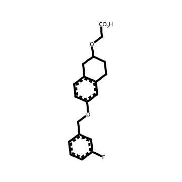 O=C(O)COC1CCc2cc(OCc3cccc(F)c3)ccc2C1